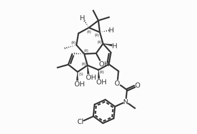 CC1=C[C@]23C(O)[C@@H](C=C(COC(=O)N(C)c4ccc(Cl)cc4)[C@@H](O)[C@]2(O)[C@H]1O)[C@H]1[C@@H](C[C@H]3C)C1(C)C